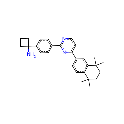 CC1(C)CCC(C)(C)c2cc(-c3ccnc(-c4ccc(C5(N)CCC5)cc4)n3)ccc21